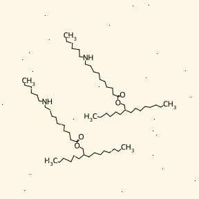 CCCCCCCCC(CCCCCC)COC(=O)CCCCCCCCCNCCCCCC.CCCCCCCCC(CCCCCC)COC(=O)CCCCCCCCCNCCCCCC